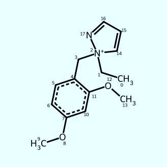 CC[N+]1(Cc2ccc(OC)cc2OC)C=CC=N1